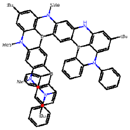 CSN1c2cc3c(cc2B2c4cc5c(cc4N(SC)c4cc(C(C)(C)C)cc1c42)N(SC)c1cc(C(C)(C)C)cc2c1B5c1ccccc1N2c1ccccc1)B1c2ccccc2N(c2ccccc2)c2cc(C(C)(C)C)cc(c21)N3